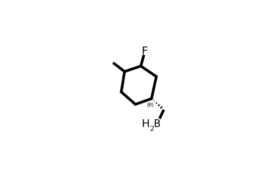 BC[C@@H]1CCC(C)C(F)C1